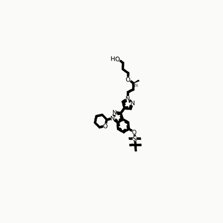 C[C@@H](CCn1cc(-c2nn(C3CCCCO3)c3ccc(O[Si](C)(C)C(C)(C)C)cc23)cn1)OCCCO